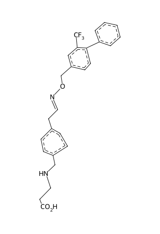 O=C(O)CCNCc1ccc(CC=NOCc2ccc(-c3ccccc3)c(C(F)(F)F)c2)cc1